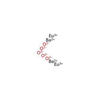 [Ba+2].[Ba+2].[Eu+3].[Eu+3].[O-2].[O-2].[O-2].[O-2].[O-2]